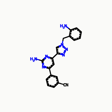 N#Cc1cccc(-c2cc(-c3cn(Cc4ccccc4N)nn3)nc(N)n2)c1